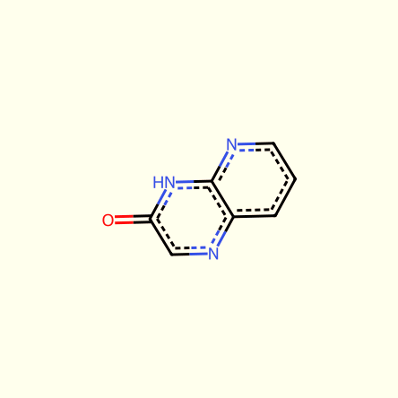 O=c1cnc2cccnc2[nH]1